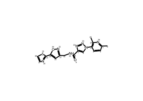 Cc1ccc(-n2cc(C(=O)NCc3cc(-c4nccs4)on3)nn2)c(C)n1